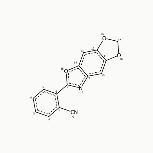 N#Cc1ccccc1-c1nc2cc3c(cc2o1)OCO3